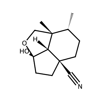 C[C@@H]1CC[C@]2(C#N)CC[C@]3(O)OC[C@@]1(C)[C@H]23